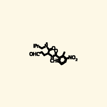 Cc1c(C(=O)N(C=O)C(CCC=O)C(=O)N(C)CC(C)C)cccc1[N+](=O)[O-]